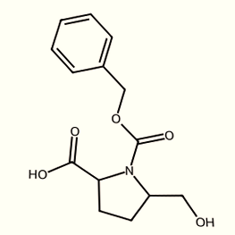 O=C(O)C1CCC(CO)N1C(=O)OCc1ccccc1